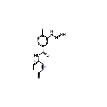 C=C/C=C\C(=C/C)NC(=O)c1ccc(C)c(NN=N)c1